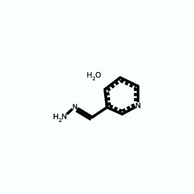 NN=Cc1cccnc1.O